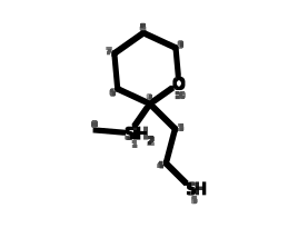 C[SiH2]C1(CCS)CCCCO1